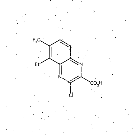 CCc1c(C(F)(F)F)ccc2nc(C(=O)O)c(Cl)nc12